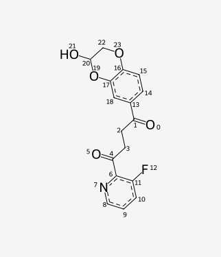 O=C(CCC(=O)c1ncccc1F)c1ccc2c(c1)OC(O)CO2